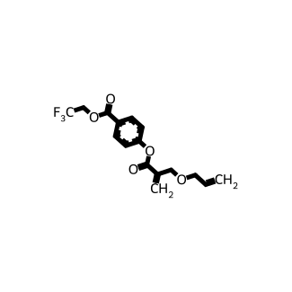 C=CCOCC(=C)C(=O)Oc1ccc(C(=O)OCC(F)(F)F)cc1